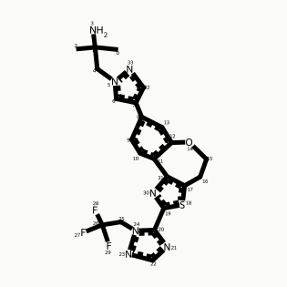 CC(C)(N)Cn1cc(-c2ccc3c(c2)OCCc2sc(-c4ncnn4CC(F)(F)F)nc2-3)cn1